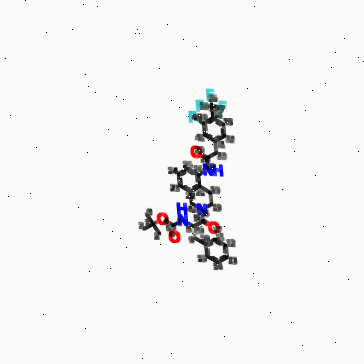 CC(C)(C)OC(=O)N[C@@H](Cc1ccccc1)C(=O)N1CCc2c(cccc2NC(=O)Cc2ccc(C(F)(F)F)c(F)c2)C1